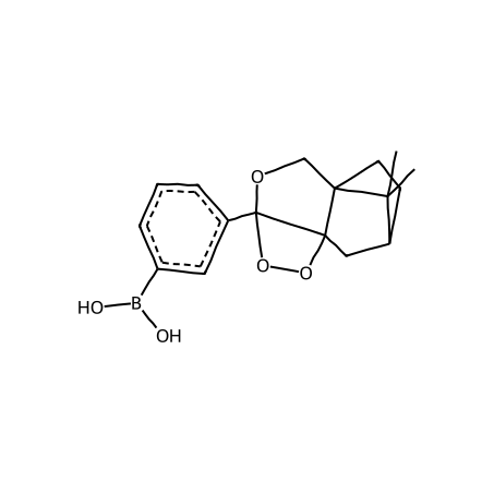 CC1(C)C2CCC13COC1(c4cccc(B(O)O)c4)OOC13C2